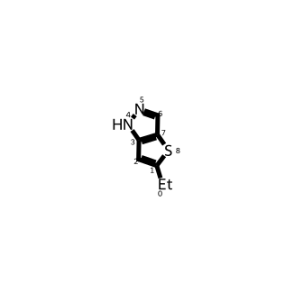 CCc1cc2[nH]ncc2s1